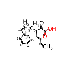 C=CC=CC(C)C(=C)C(=O)O.C=Cc1ccccc1